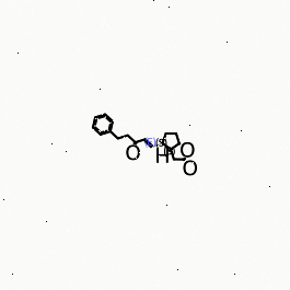 O=C(/C=C/[C@@H]1CCC2OC(=O)C[C@H]21)CCc1ccccc1